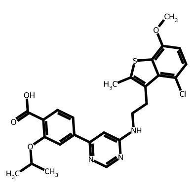 COc1ccc(Cl)c2c(CCNc3cc(-c4ccc(C(=O)O)c(OC(C)C)c4)ncn3)c(C)sc12